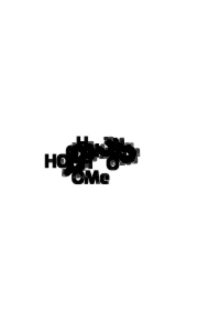 COc1cc2c(c(O)c1C)OC[C@H]1CN(CCc3c(C)nc4ccccn4c3=O)C[C@@H]21